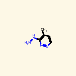 Cc1ccnnc1NN